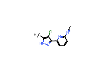 [C-]#[N+]c1cccc(-c2n[nH]c(C)c2Cl)n1